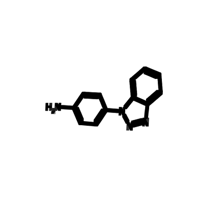 Nc1ccc(-n2nnc3ccccc32)cc1